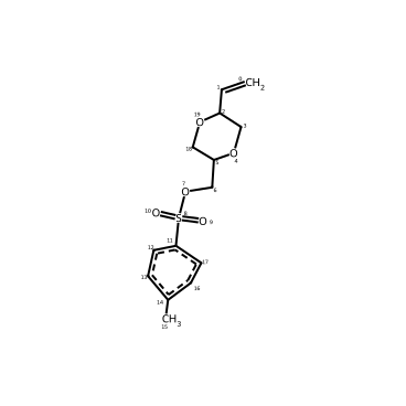 C=CC1COC(COS(=O)(=O)c2ccc(C)cc2)CO1